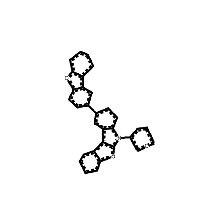 c1ccc(-n2c3ccc(-c4ccc5oc6ccccc6c5c4)cc3c3c4ccccc4oc32)cc1